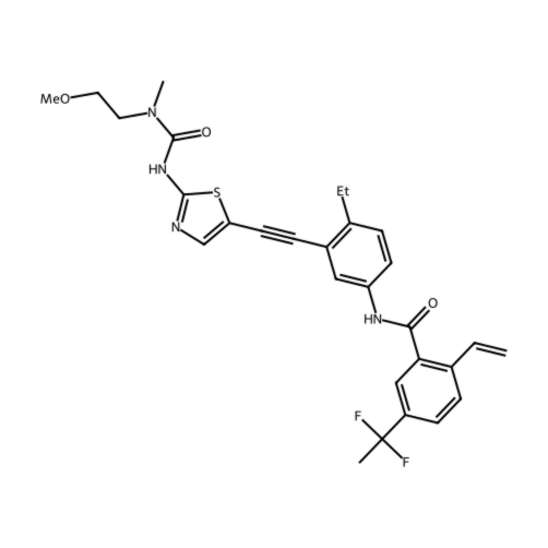 C=Cc1ccc(C(C)(F)F)cc1C(=O)Nc1ccc(CC)c(C#Cc2cnc(NC(=O)N(C)CCOC)s2)c1